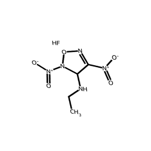 CCNC1C([N+](=O)[O-])=NON1[N+](=O)[O-].F